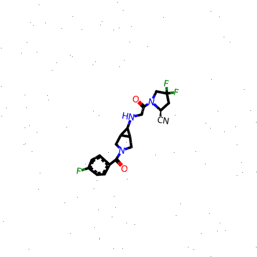 N#C[C@@H]1CC(F)(F)CN1C(=O)CNC1C2CN(C(=O)c3ccc(F)cc3)CC21